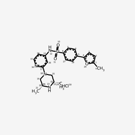 Cc1ccc(-c2ccc(S(=O)(=O)Nc3ccnc(N4C[C@@H](C)N[C@@H](C)C4)c3)cc2)o1.Cl